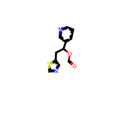 O=COC(Cc1cncs1)c1cccnc1